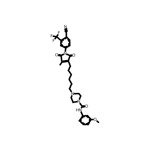 COc1cccc(NC(=O)N2CCN(CCCCCCC3=C(C)C(=O)N(c4ccc(C#N)c(C(F)(F)F)c4)C3=O)CC2)c1